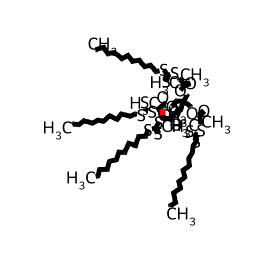 CCCCCCCCCCCCSC(=S)SC(C)(C)C(=O)OCC(COC(=O)C(C)(C)SC(=S)SCCCCCCCCCCCC)(COC(=O)C(C)(C)SC(=S)SCCCCCCCCCCCC)COC(=O)C(C)(C)SC(=S)SCCCCCCCCCCCC